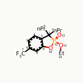 CCCC1(CCC)c2ccc(C(F)(F)F)cc2OP1(=O)OCC